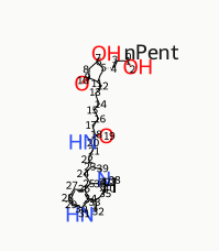 CCCCC[C@H](O)C=C[C@H]1[C@H](O)CC(=O)[C@@H]1CCCCCCC(=O)NCC[C@@H]1CC2c3cccc4[nH]cc(c34)C[C@H]2N(C)C1